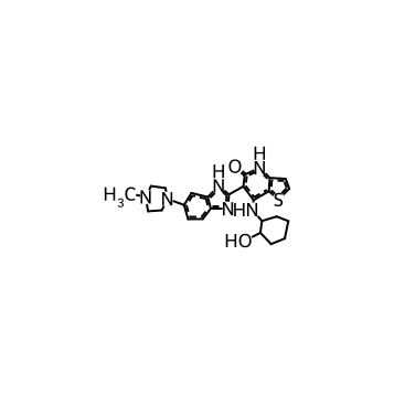 CN1CCN(c2ccc3nc(-c4c(NC5CCCCC5O)c5sccc5[nH]c4=O)[nH]c3c2)CC1